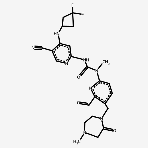 CN1CCN(Cc2ccc(N(C)C(=O)Nc3cc(NC4CC(F)(F)C4)c(C#N)cn3)nc2C=O)C(=O)C1